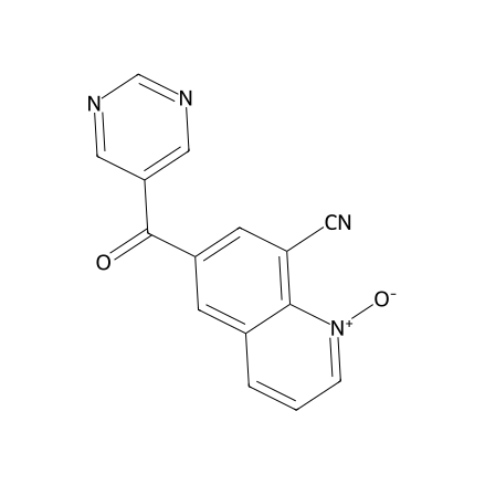 N#Cc1cc(C(=O)c2cncnc2)cc2ccc[n+]([O-])c12